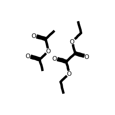 CC(=O)OC(C)=O.CCOC(=O)C(=O)OCC